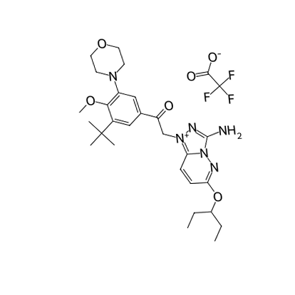 CCC(CC)Oc1ccc2n(n1)c(N)n[n+]2CC(=O)c1cc(N2CCOCC2)c(OC)c(C(C)(C)C)c1.O=C([O-])C(F)(F)F